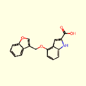 O=C(O)c1cc2c(OCc3coc4ccccc34)cccc2[nH]1